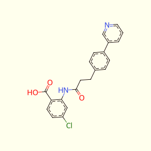 O=C(CCc1ccc(-c2cccnc2)cc1)Nc1cc(Cl)ccc1C(=O)O